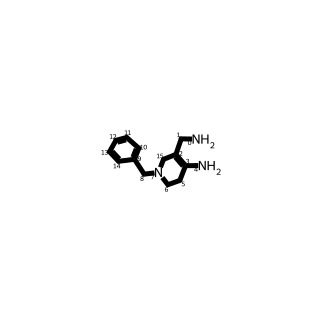 NCC1=C(N)CCN(Cc2ccccc2)C1